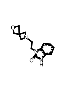 O=c1[nH]c2ccccc2n1CCN1CC2(COC2)C1